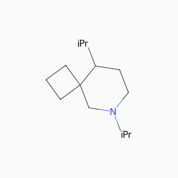 CC(C)C1CCN(C(C)C)CC12CCC2